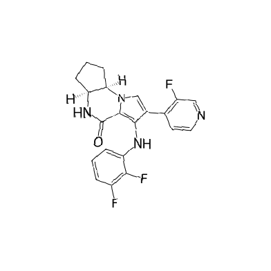 O=C1N[C@H]2CCC[C@H]2n2cc(-c3ccncc3F)c(Nc3cccc(F)c3F)c21